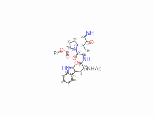 CC(=O)N[C@@H](Cc1c[nH]c2ccccc12)C(=O)N[C@@H](CCC(=O)C=N)C(=O)N1CCC[C@H]1C(=O)OC(C)C